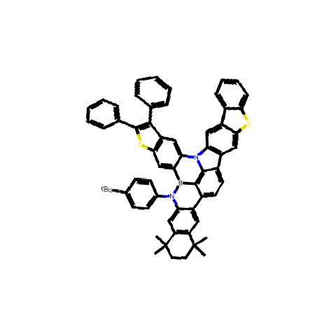 CC(C)(C)c1ccc(N2B3c4cc5sc(-c6ccccc6)c(-c6ccccc6)c5cc4-n4c5cc6c(cc5c5ccc(c3c54)-c3cc4c(cc32)C(C)(C)CCC4(C)C)sc2ccccc26)cc1